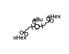 CCCCCCOC(=O)CCCC(C)(C)c1[c]cc(C(C)(C)CCCC(=O)OCCCCCC)c(OCCCC)c1